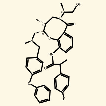 CC(C(=O)Nc1cccc2c1O[C@H](CN(C)Cc1ccc(Oc3ccccc3)cc1)[C@H](C)CN([C@@H](C)CO)C2=O)c1ccc(F)cc1